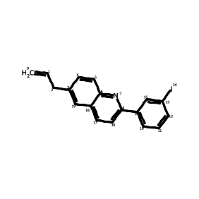 C=CCc1ccc2nc(-c3cccc(I)c3)ccc2c1